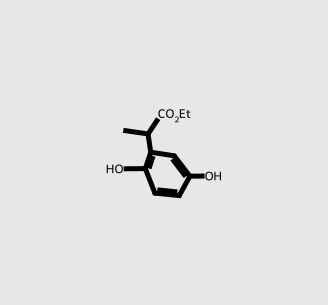 CCOC(=O)C(C)c1cc(O)ccc1O